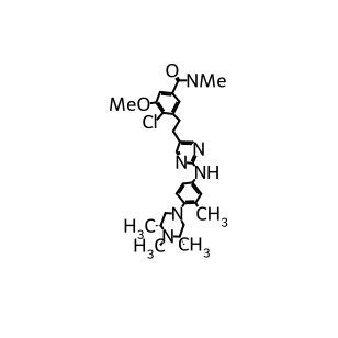 CNC(=O)c1cc(CCc2cnc(Nc3ccc(N4C[C@@H](C)N(C)[C@@H](C)C4)c(C)c3)nc2)c(Cl)c(OC)c1